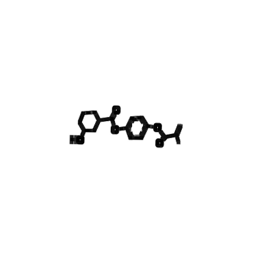 C=C(C)C(=O)Oc1ccc(OC(=O)C2CCCC(O)C2)cc1